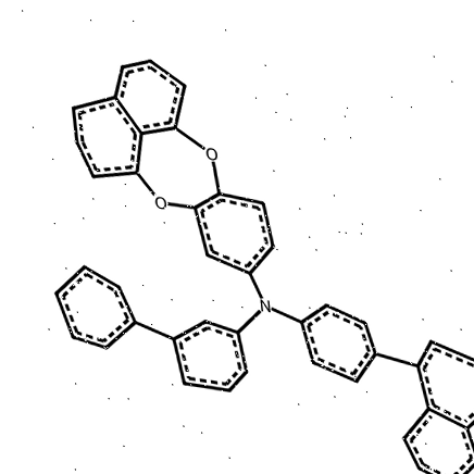 c1ccc(-c2cccc(N(c3ccc(-c4cccc5ccccc45)cc3)c3ccc4c(c3)Oc3cccc5cccc(c35)O4)c2)cc1